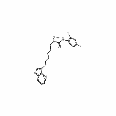 CCCCCCCN(CCCCCSn1cnc2cncnc21)C(=O)Nc1ccc(F)cc1F